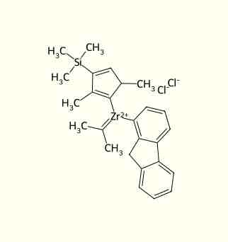 CC1=[C]([Zr+2](=[C](C)C)[c]2cccc3c2Cc2ccccc2-3)C(C)C=C1[Si](C)(C)C.[Cl-].[Cl-]